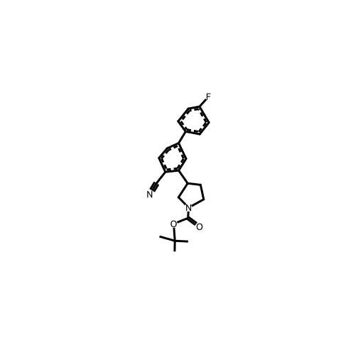 CC(C)(C)OC(=O)N1CCC(c2cc(-c3ccc(F)cc3)ccc2C#N)C1